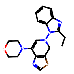 CCc1nc2ccccc2n1N1C=C(N2CCOCC2)c2ncsc2C1